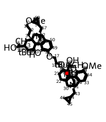 COCCC[C@]12CC([C@](C)(O)C(C)(C)C)C[C@H]3Oc4c(OCCO[C@]56CCC7(C[C@@H]5[C@](C)(O)C(C)(C)C)C5Cc8ccc(OC)c9c8[C@@]7(CCN5CC5CC5)[C@@H]6O9)ccc5c4[C@@]31CCN(CC1CC1)C2C5